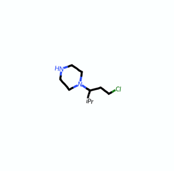 CC(C)C(CCCl)N1CCNCC1